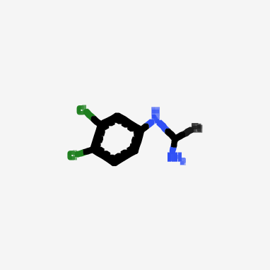 CCC(N)Nc1ccc(Cl)c(Cl)c1